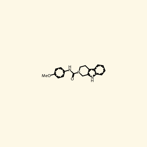 COc1ccc(NC(=O)N2CCc3c([nH]c4ccccc34)C2)cc1